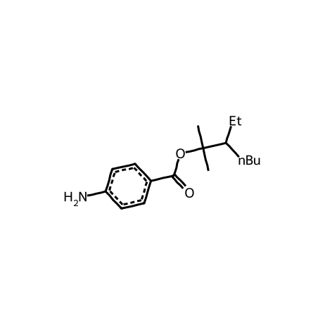 CCCCC(CC)C(C)(C)OC(=O)c1ccc(N)cc1